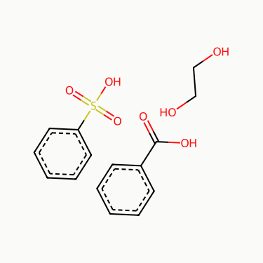 O=C(O)c1ccccc1.O=S(=O)(O)c1ccccc1.OCCO